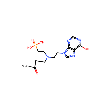 COC(=O)CCN(CCn1cnc2c(O)ncnc21)CCP(=O)(O)O